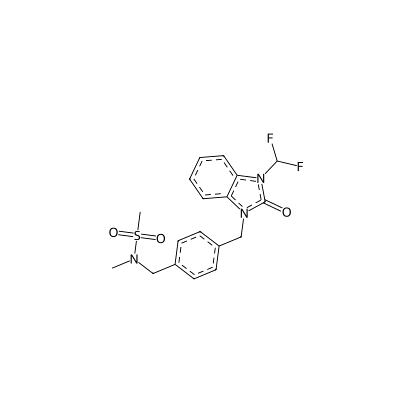 CN(Cc1ccc(Cn2c(=O)n(C(F)F)c3ccccc32)cc1)S(C)(=O)=O